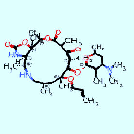 C=CCO[C@]1(C)C[C@@H](C)CN[C@H](C)[C@H]2NC(=O)O[C@]2(C)[C@@H](CC)OC(=O)C(C)C(=O)[C@H](C)C1O[C@@H]1OC(C)CC(N(C)C)C1C